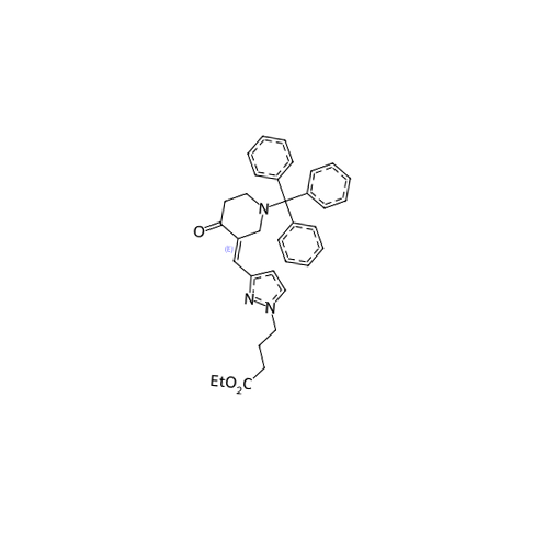 CCOC(=O)CCCn1ccc(/C=C2\CN(C(c3ccccc3)(c3ccccc3)c3ccccc3)CCC2=O)n1